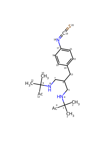 CC(=O)C(C)(C)NCC(CNC(C)(C)C(C)=O)Cc1ccc(N=C=S)cc1